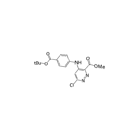 COC(=O)c1nnc(Cl)cc1Nc1ccc(C(=O)OC(C)(C)C)cc1